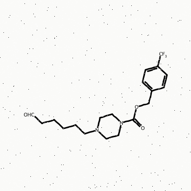 O=CCCCCCN1CCN(C(=O)OCc2ccc(C(F)(F)F)cc2)CC1